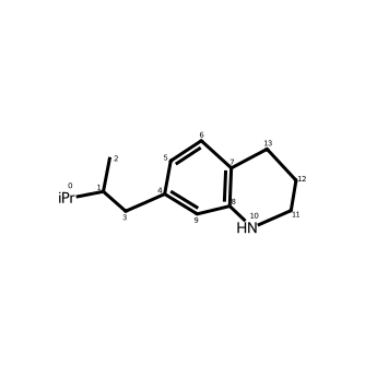 CC(C)C(C)Cc1ccc2c(c1)NCCC2